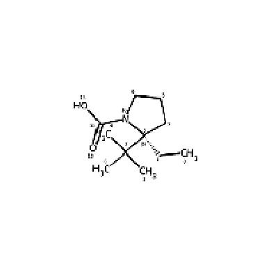 CC[C@@]1(C(C)(C)C)CCCN1C(=O)O